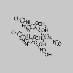 COc1cc2c(Nc3ccc(Cl)cc3F)ncnc2cc1OCC(O)CN1CCC(O)C1.COc1cc2c(Nc3ccc(Cl)cc3F)ncnc2cc1OCC(O)CN1CCN(CCN2CCOCC2)CC1